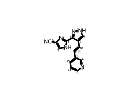 N#Cc1c[nH]c(-c2n[nH]cc2/C=C/c2cccnc2)n1